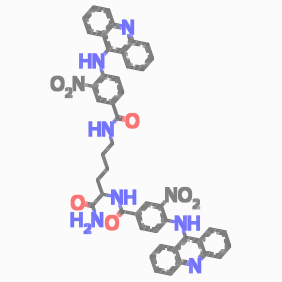 NC(=O)C(CCCCNC(=O)c1ccc(Nc2c3ccccc3nc3ccccc23)c([N+](=O)[O-])c1)NC(=O)c1ccc(Nc2c3ccccc3nc3ccccc23)c([N+](=O)[O-])c1